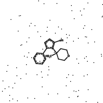 CCCc1ccc(-c2ccccc2)n1C1(C(=O)O)CCOCC1